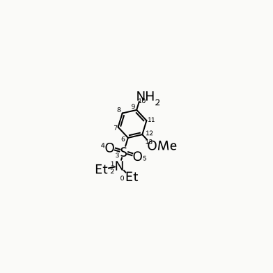 CCN(CC)S(=O)(=O)c1ccc(N)cc1OC